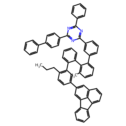 CCCc1ccc(-c2cc3c4c(cccc4c2)-c2ccccc2-3)cc1-c1ccccc1-c1c(C)cccc1-c1cccc(-c2nc(-c3ccccc3)nc(-c3ccc(-c4ccccc4)cc3)n2)c1